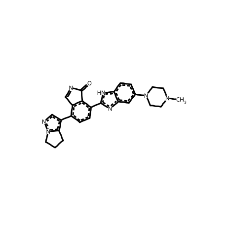 CN1CCN(c2ccc3[nH]c(-c4ccc(-c5cnn6c5CCC6)c5c4C(=O)N=C5)nc3c2)CC1